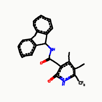 Cc1c(C(F)(F)F)[nH]c(=O)c(C(=O)NC2c3ccccc3-c3ccccc32)c1C